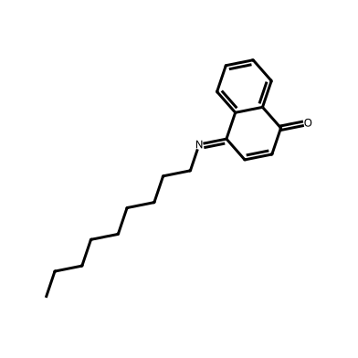 CCCCCCCCCN=C1C=CC(=O)c2ccccc21